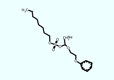 CCCCCCCCOS(=O)(=O)OC(C)OCCOc1ccccc1.[Na]